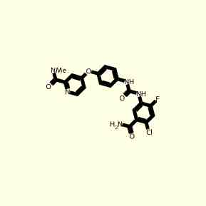 CNC(=O)c1cc(Oc2ccc(NC(=O)Nc3cc(C(N)=O)c(Cl)cc3F)cc2)ccn1